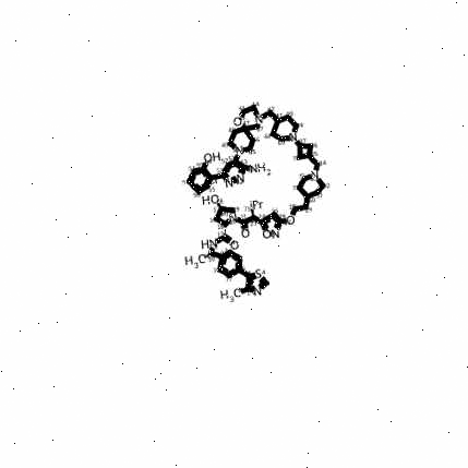 Cc1ncsc1-c1ccc([C@H](C)NC(=O)[C@@H]2C[C@@H](O)CN2C(=O)[C@H](c2cc(OCCC3CCN(CC4CC(N5CCC(CN6CCOC7(CCN(c8cc(-c9ccccc9O)nnc8N)CC7)C6)CC5)C4)CC3)no2)C(C)C)cc1